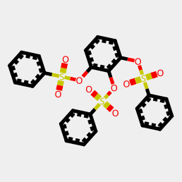 O=S(=O)(Oc1cccc(OS(=O)(=O)c2ccccc2)c1OS(=O)(=O)c1ccccc1)c1ccccc1